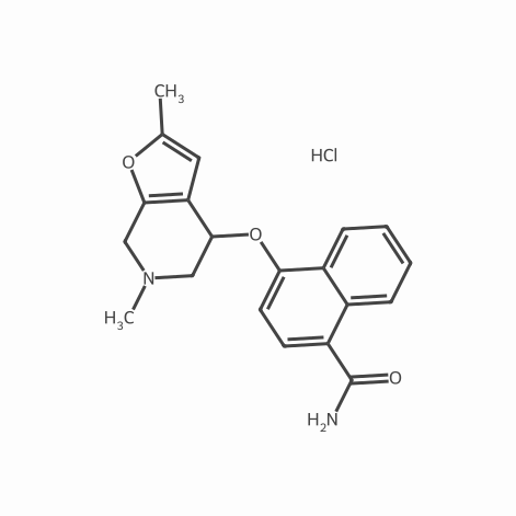 Cc1cc2c(o1)CN(C)CC2Oc1ccc(C(N)=O)c2ccccc12.Cl